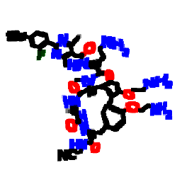 Cc1nc(-c2ccc(C(C)(C)C)cc2F)nc(C)c1C(=O)N[C@@H](CCN)C(=O)N(C)[C@@H]1C(=O)N[C@@H](C)C(=O)N[C@H](C(=O)NCC#N)Cc2ccc(OCCN)c(c2)-c2cc1ccc2OCCN